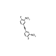 O=[N+]([O-])c1cc(C#Cc2ccc(F)c([N+](=O)[O-])c2)ccc1F